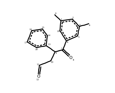 Cc1cc(C)cc(C(=O)C(CC=O)c2ccccc2)c1